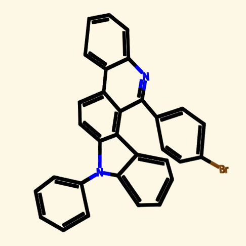 Brc1ccc(-c2nc3ccccc3c3ccc4c(c5ccccc5n4-c4ccccc4)c23)cc1